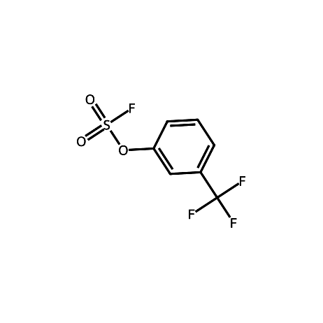 O=S(=O)(F)Oc1cccc(C(F)(F)F)c1